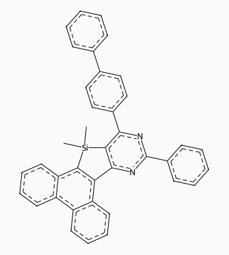 C[Si]1(C)c2c(-c3ccc(-c4ccccc4)cc3)nc(-c3ccccc3)nc2-c2c1c1ccccc1c1ccccc21